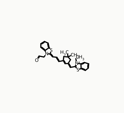 CC[n+]1c(/C=C2C=C(/C=C/C=C3\Sc4ccccc4N3CC=O)CC(C)(C)C/2)sc2ccccc21